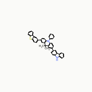 CC1(C)c2cc(-c3ccc4[nH]c5ccccc5c4c3)ccc2N(c2ccccc2)c2ccc(-c3ccc4sc5ccccc5c4c3)cc21